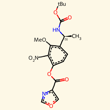 COc1c([C@H](C)NC(=O)OC(C)(C)C)ccc(OC(=O)c2cocn2)c1[N+](=O)[O-]